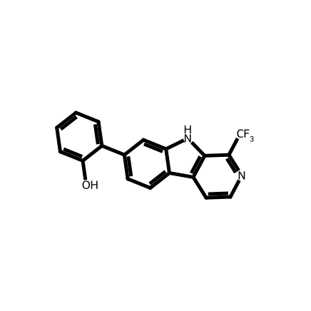 Oc1ccccc1-c1ccc2c(c1)[nH]c1c(C(F)(F)F)nccc12